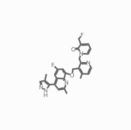 Cc1cc(-c2[nH]ncc2C)c2cc(F)cc(OCc3c(C)ccnc3Cn3cccc(CF)c3=O)c2n1